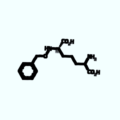 NC(CCC[C@H](NOCc1ccccc1)C(=O)O)C(=O)O